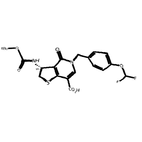 CC(C)(C)OC(=O)N[C@H]1CSc2c(C(=O)O)cn(Cc3ccc(OC(F)F)cc3)c(=O)c21